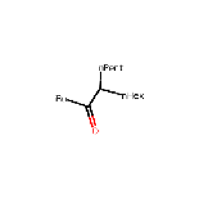 CCCCCCC(CCCCC)C(=O)C(C)CC